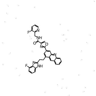 O=C(NCc1ncccc1F)c1coc(-c2cc(CCc3nc4c(F)cccc4[nH]3)c3cc4ccccc4nc3c2)n1